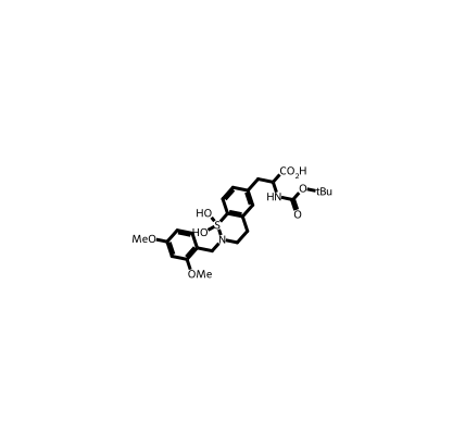 COc1ccc(CN2CCc3cc(CC(NC(=O)OC(C)(C)C)C(=O)O)ccc3S2(O)O)c(OC)c1